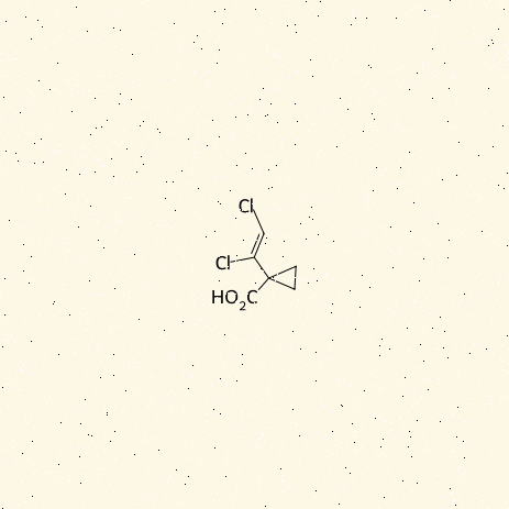 O=C(O)C1(C(Cl)=CCl)CC1